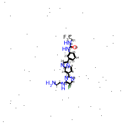 NCCNc1nc(-c2ccn3c(-c4cccc(NC(=O)NCC(F)(F)F)c4)cnc3c2)ncc1F